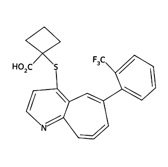 O=C(O)C1(Sc2ccnc3c2C=C(c2ccccc2C(F)(F)F)C=C=C3)CCC1